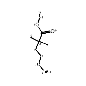 CCCCOCCC(C)(C)C(=O)OCl